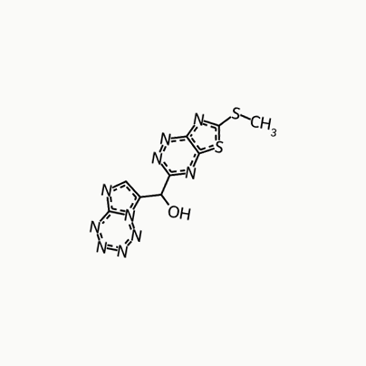 CSc1nc2nnc(C(O)c3cnc4nnnnn34)nc2s1